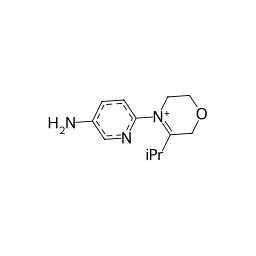 CC(C)C1=[N+](c2ccc(N)cn2)CCOC1